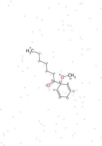 CCCCCCC(=O)C1(OC)C=CCC=C1